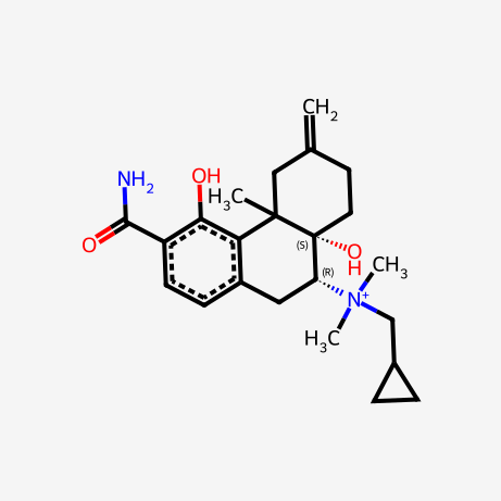 C=C1CC[C@@]2(O)[C@H]([N+](C)(C)CC3CC3)Cc3ccc(C(N)=O)c(O)c3C2(C)C1